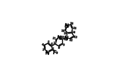 Fc1ncccc1-c1ccc(-n2ccc3ccncc32)nc1